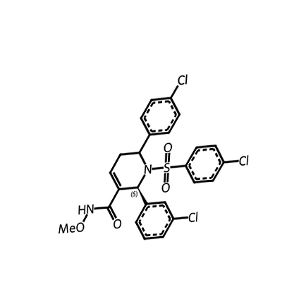 CONC(=O)C1=CCC(c2ccc(Cl)cc2)N(S(=O)(=O)c2ccc(Cl)cc2)[C@H]1c1cccc(Cl)c1